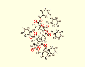 CCC(C)(CC(C)(CC(C)(CC(C)(CC(C)(CC(C)(C)C(=O)OCc1ccccc1)C(=O)OCc1ccccc1)C(=O)OCc1ccccc1)C(=O)OCc1ccccc1)C(=O)OCc1ccccc1)C(=O)OCc1ccccc1